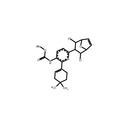 CC1(C)CC=C(c2nc(C3C(Cl)C4C=CC(O4)C3Cl)ccc2NC(=O)OC(C)(C)C)CC1